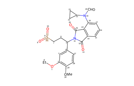 CCOc1cc(C(CC[SH](=O)=O)N2C(=O)c3cccc(N(C=O)C4CC4)c3C2=O)ccc1OC